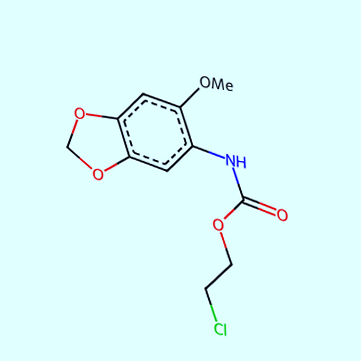 COc1cc2c(cc1NC(=O)OCCCl)OCO2